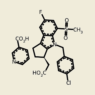 CS(=O)(=O)c1cc(F)cc2c3c(n(Cc4ccc(Cl)cc4)c12)[C@@H](CC(=O)O)CC3.O=C(O)c1cccnc1